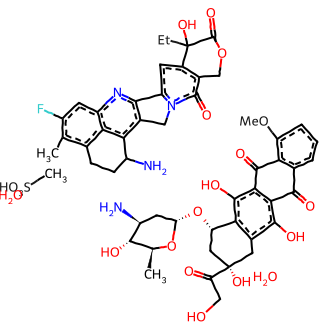 CCC1(O)C(=O)OCc2c1cc1n(c2=O)Cc2c-1nc1cc(F)c(C)c3c1c2C(N)CC3.COc1cccc2c1C(=O)c1c(O)c3c(c(O)c1C2=O)C[C@@](O)(C(=O)CO)C[C@@H]3O[C@H]1C[C@H](N)[C@@H](O)[C@H](C)O1.CS(=O)(=O)O.O.O